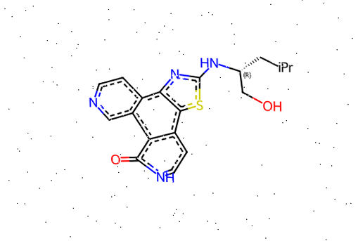 CC(C)C[C@H](CO)Nc1nc2c3ccncc3c3c(=O)[nH]ccc3c2s1